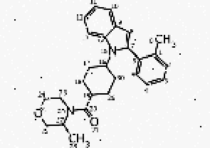 Cc1ccccc1-c1cc2ccccc2n1C1CCC(C(=O)N2CCOCC2C)CC1